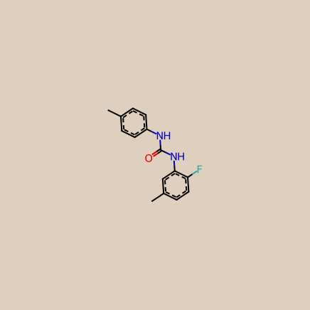 Cc1ccc(NC(=O)Nc2cc(C)ccc2F)cc1